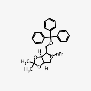 CCCN1C[C@H]2OC(C)(C)O[C@H]2[C@H]1COC(c1ccccc1)(c1ccccc1)c1ccccc1